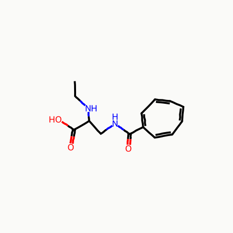 CCNC(CNC(=O)C1=C/C=C\C=C/C=C\1)C(=O)O